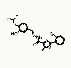 Cc1nc(-c2ccccc2Cl)sc1C(=O)N/N=C/c1ccc(OC(F)F)c(O)c1